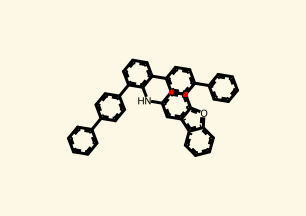 c1ccc(-c2ccc(-c3cccc(-c4ccc(-c5ccccc5)cc4)c3Nc3ccc4oc5ccccc5c4c3)cc2)cc1